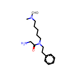 CN(C=O)CCCCCN(CCc1ccccc1)C(=O)CN